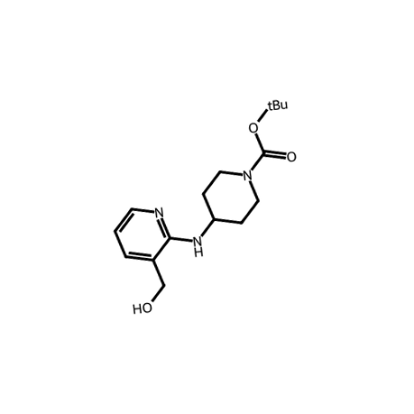 CC(C)(C)OC(=O)N1CCC(Nc2ncccc2CO)CC1